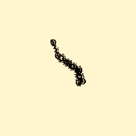 COCCCCCCOC1CCC(C2CCN(c3ccc(-c4nnc(-c5ccc(C(=O)OC)cc5)s4)cc3)CC2)CC1